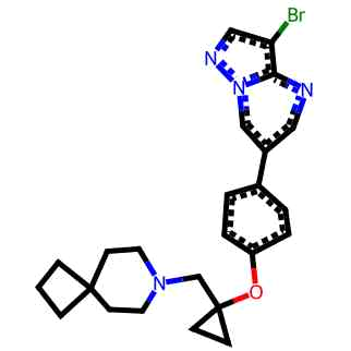 Brc1cnn2cc(-c3ccc(OC4(CN5CCC6(CCC6)CC5)CC4)cc3)cnc12